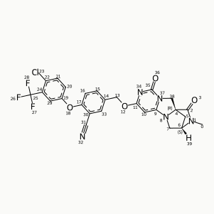 CN1C(=O)[C@]23C[C@H]1CN2c1cc(OCc2ccc(Oc4ccc(Cl)c(C(F)(F)F)c4)c(C#N)c2)nc(=O)n1C3